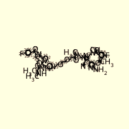 CN[C@@H](C)C(=O)N[C@H](C(=O)N1CCC[C@H]1C1=NC(C(=O)c2ccc(F)cc2)CS1)C1CCN(CCOCCOCCC(=O)N(C)CCn2nc3c(c2C#N)-c2cnc(N)c(c2)O[C@H](C)c2cc(F)ccc2C(=O)N(C)C3)CC1